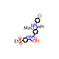 CCS(=O)(=O)c1ccc(C(CO)NC(=O)c2ccc(C(Nc3ccc(Cl)cc3)C(C)C)c(OC)c2)cc1